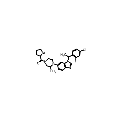 CC1CN(C(=O)C2CCCN2)CCN1c1ccc2ncn(C(C)c3ccc(Cl)cc3F)c2c1